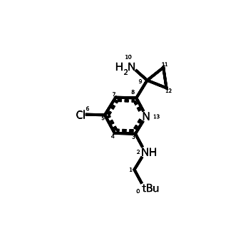 CC(C)(C)CNc1cc(Cl)cc(C2(N)CC2)n1